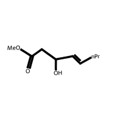 CCCC=CC(O)CC(=O)OC